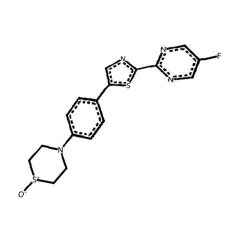 [O-][S+]1CCN(c2ccc(-c3cnc(-c4ncc(F)cn4)s3)cc2)CC1